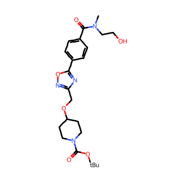 CN(CCO)C(=O)c1ccc(-c2nc(COC3CCN(C(=O)OC(C)(C)C)CC3)no2)cc1